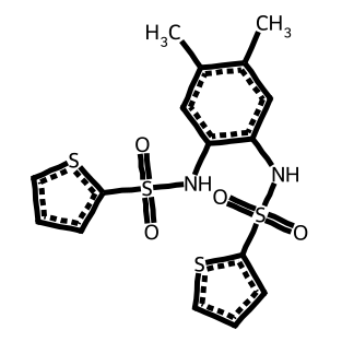 Cc1cc(NS(=O)(=O)c2cccs2)c(NS(=O)(=O)c2cccs2)cc1C